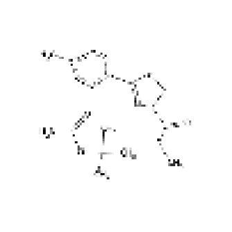 CC(C)(C)OC(N)=O.COC(=O)C1CSC(c2ccc(C)cc2)=N1